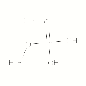 BOP(=O)(O)O.[Cu]